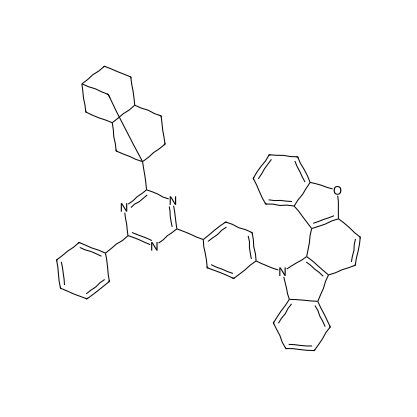 c1ccc(-c2nc(-c3ccc(-n4c5ccccc5c5ccc6oc7ccccc7c6c54)cc3)nc(C34CCC5CCC(CC5C3)C4)n2)cc1